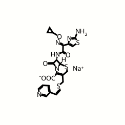 Nc1nc(C(=NOC2CC2)C(=O)N[C@@H]2C(=O)N3C(C(=O)[O-])=C(CS/C=C\c4cccnc4)CS[C@@H]23)cs1.[Na+]